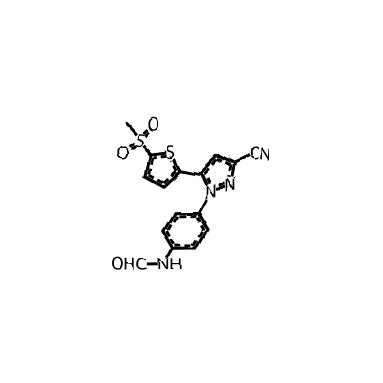 CS(=O)(=O)c1ccc(-c2cc(C#N)nn2-c2ccc(NC=O)cc2)s1